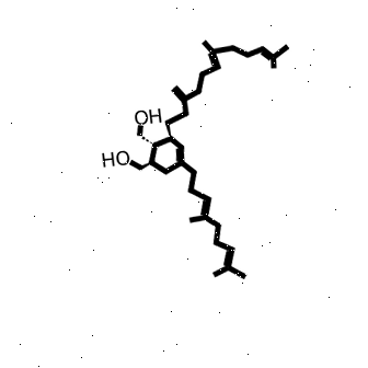 C=C(CC/C=C(\C)CCC=C(C)C)CC[C@H]1C=C(CC/C=C(\C)CCC=C(C)C)C[C@@H](CO)[C@@H]1CO